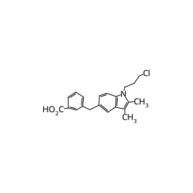 Cc1c(C)n(CCCCl)c2ccc(Cc3cccc(C(=O)O)c3)cc12